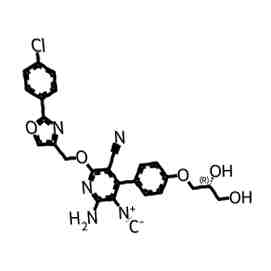 [C-]#[N+]c1c(N)nc(OCc2coc(-c3ccc(Cl)cc3)n2)c(C#N)c1-c1ccc(OC[C@H](O)CO)cc1